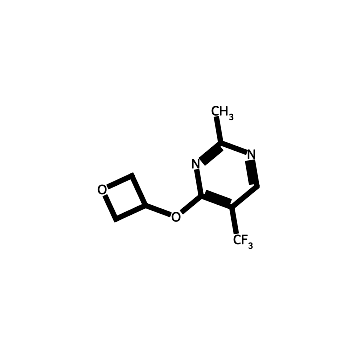 Cc1ncc(C(F)(F)F)c(OC2COC2)n1